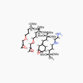 CO[SiH](CCCOCC1CO1)OC.CO[SiH](CCCOCC1CO1)OC.CO[Si](C)(CCCNCCN)OC.CO[Si](CCC1CCC2OC2C1)(OC)OC